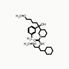 CNCC(CC1CCCCC1)NC(=O)N1CCCC(C(O)(CCCCOC)c2cccc(C)c2)C1